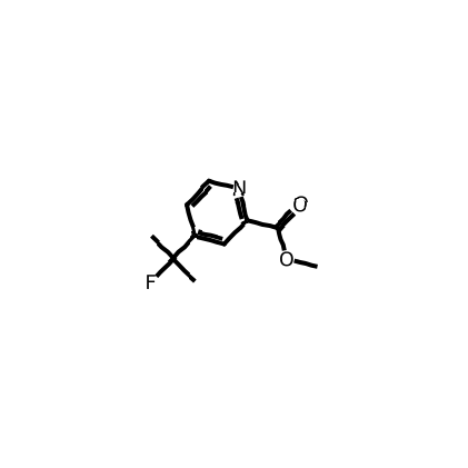 COC(=O)c1cc(C(C)(C)F)ccn1